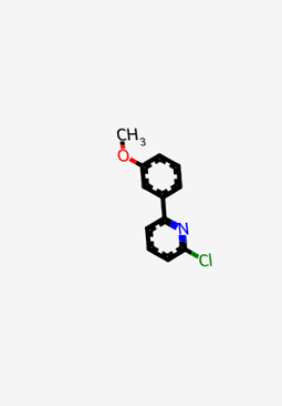 COc1cccc(-c2cccc(Cl)n2)c1